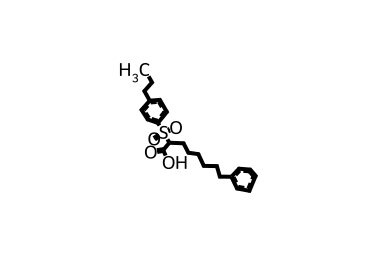 CCCc1ccc(S(=O)(=O)C(CCCCCCc2ccccc2)C(=O)O)cc1